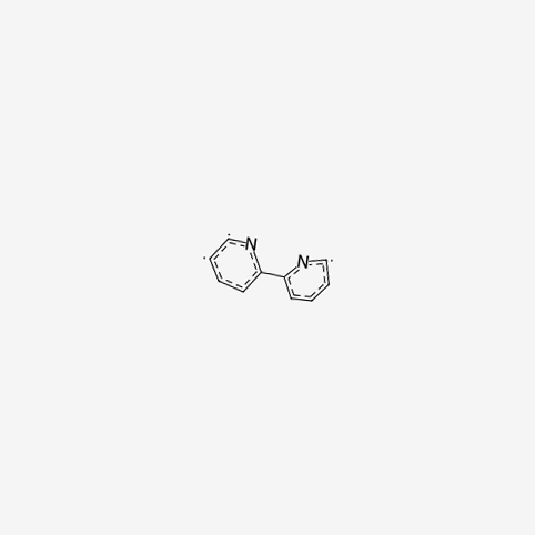 [c]1[c]nc(-c2ccc[c]n2)cc1